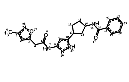 Cc1cc(CC(=O)Nc2cc(C3CCC(NC(=O)c4ccccc4)C3)[nH]n2)on1